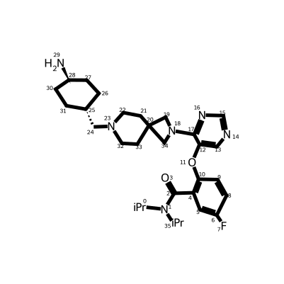 CC(C)N(C(=O)c1cc(F)ccc1Oc1cncnc1N1CC2(CCN(C[C@H]3CC[C@H](N)CC3)CC2)C1)C(C)C